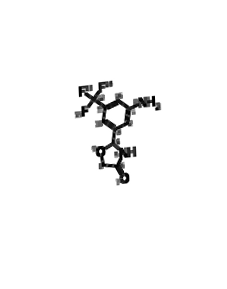 Nc1cc(C2NC(=O)CO2)cc(C(F)(F)F)c1